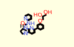 O=C(Nc1ccccn1)N1c2nc(-c3cccc(OC[C@@H](O)CO)c3)ccc2N2CC[C@H]1C2